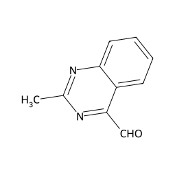 Cc1nc(C=O)c2ccccc2n1